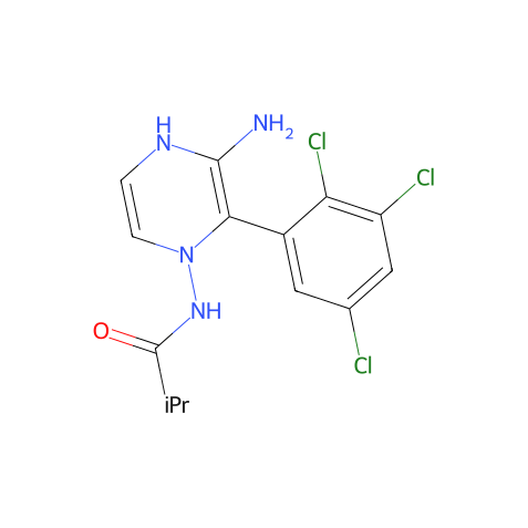 CC(C)C(=O)NN1C=CNC(N)=C1c1cc(Cl)cc(Cl)c1Cl